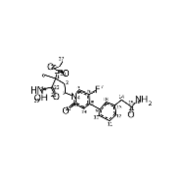 CC(CCn1cc(F)c(-c2cccc(CC(N)=O)c2)cc1=O)(C(=O)NO)S(C)(=O)=O